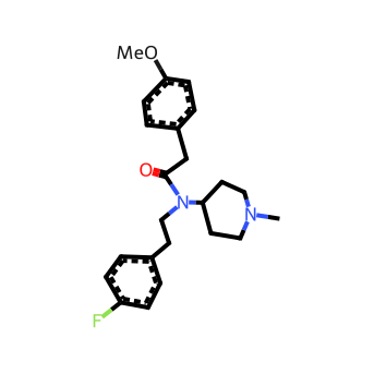 COc1ccc(CC(=O)N(CCc2ccc(F)cc2)C2CCN(C)CC2)cc1